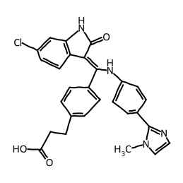 Cn1ccnc1-c1ccc(N/C(=C2\C(=O)Nc3cc(Cl)ccc32)c2ccc(CCC(=O)O)cc2)cc1